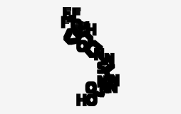 [2H]C1([2H])CC2(CCN(c3ncc(-c4nnn(CC(=O)O)n4)s3)CC2)Oc2cccc(OC(F)(F)F)c21